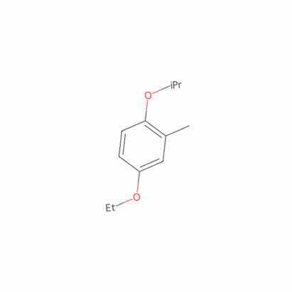 CCOc1ccc(OC(C)C)c(C)c1